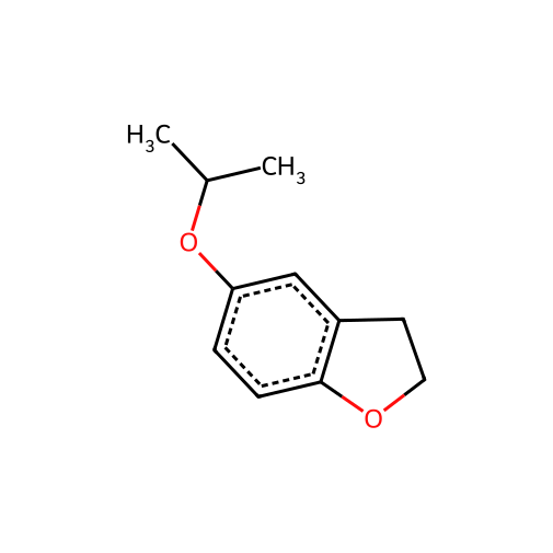 CC(C)Oc1ccc2c(c1)CCO2